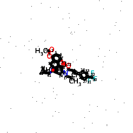 CC(=O)Oc1ccc2c3c1C[C@@H]1[C@@H]4CC[C@@H](N(CC(C)C)C(=O)C#Cc5ccc(C(F)(F)F)cc5)[C@H](O2)[C@]34CCN1CC1CC1